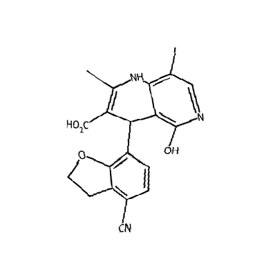 CC1=C(C(=O)O)C(c2ccc(C#N)c3c2OCC3)c2c(O)ncc(C)c2N1